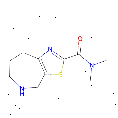 CN(C)C(=O)c1nc2c(s1)CNCCC2